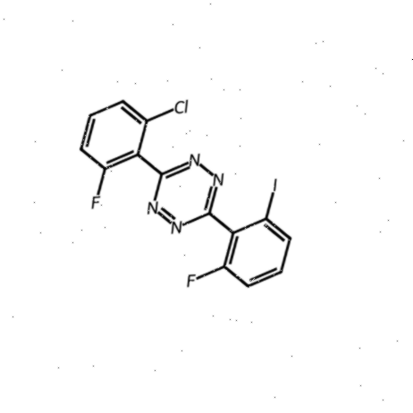 Fc1cccc(Cl)c1-c1nnc(-c2c(F)cccc2I)nn1